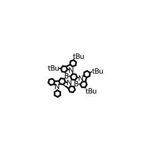 CC(C)(C)c1ccc2c(c1)c1cc(C(C)(C)C)cc3c1n2-c1cc2c4c5c1B3c1cccc3c6c(c(cc7c8ccccc8n(-c8ccccc8)c76)B4c4cc(C(C)(C)C)cc6c7cc(C(C)(C)C)ccc7n-2c46)n-5c13